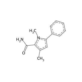 Cc1cc(-c2ccccc2)n(C)c1C(N)=O